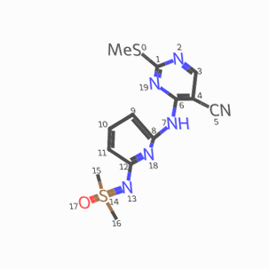 CSc1ncc(C#N)c(Nc2cccc(N=S(C)(C)=O)n2)n1